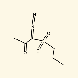 CCCS(=O)(=O)C(=[N+]=[N-])C(C)=O